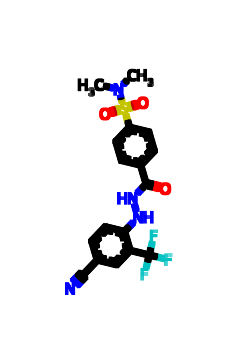 CN(C)S(=O)(=O)c1ccc(C(=O)NNc2ccc(C#N)cc2C(F)(F)F)cc1